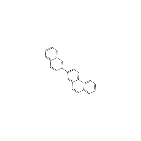 [c]1cc(-c2ccc3c(ccc4ccccc43)c2)cc2ccccc12